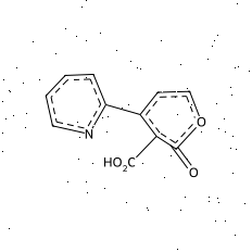 O=C(O)c1c(-c2ccccn2)ccoc1=O